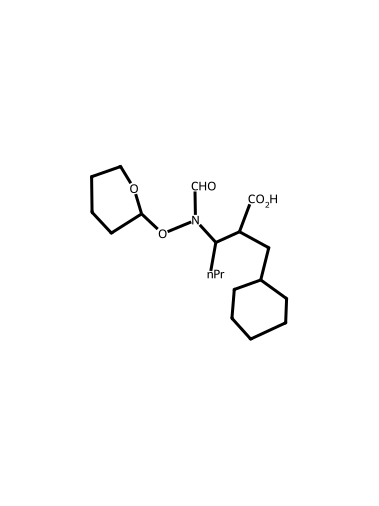 CCCC(C(CC1CCCCC1)C(=O)O)N(C=O)OC1CCCCO1